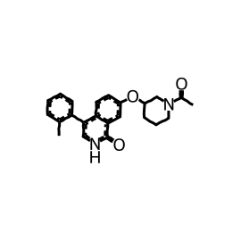 CC(=O)N1CCCC(Oc2ccc3c(-c4ccccc4C)c[nH]c(=O)c3c2)C1